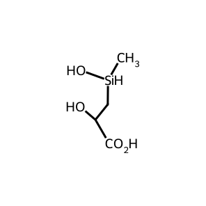 C[SiH](O)CC(O)C(=O)O